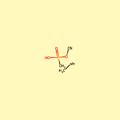 CCCC.CP(=O)(O)OC#N